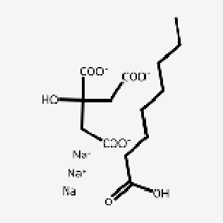 CCCCCCCC(=O)O.O=C([O-])CC(O)(CC(=O)[O-])C(=O)[O-].[Na+].[Na+].[Na+]